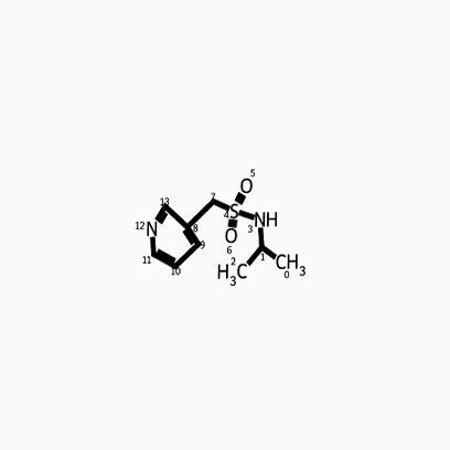 CC(C)NS(=O)(=O)Cc1cccnc1